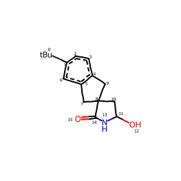 CC(C)(C)c1ccc2c(c1)CC1(C2)CC(O)NC1=O